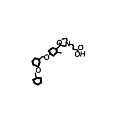 Cc1cc(OCc2cccc(OCc3ccccc3)c2)ccc1C1CN(CCC(=O)O)CCO1